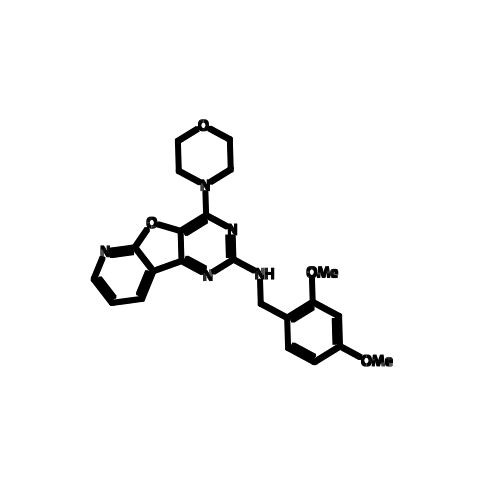 COc1ccc(CNc2nc(N3CCOCC3)c3oc4ncccc4c3n2)c(OC)c1